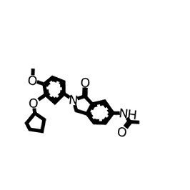 COc1ccc(N2Cc3ccc(NC(C)=O)cc3C2=O)cc1OC1CCCC1